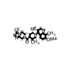 COc1ccc2c(N3CC[C@H](C(=O)N4CCn5c(nnc5C(F)(F)F)C4)[C@H](C)C3)c(C#N)cnc2c1C